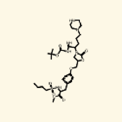 CCCCS(=O)(=O)NC(Cc1ccc(OCC2CN(C(CCCN3CCNCC3)C(=N)NC(=O)OC(C)(C)C)C(=O)O2)cc1)C(=O)OC